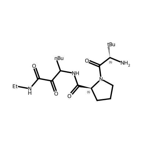 CCCCC(NC(=O)[C@@H]1CCCN1C(=O)[C@@H](N)C(C)(C)C)C(=O)C(=O)NCC